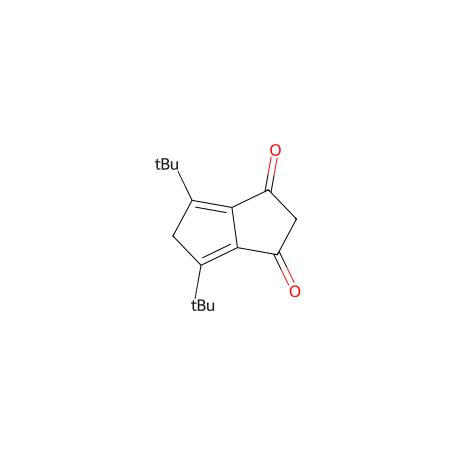 CC(C)(C)C1=C2C(=O)CC(=O)C2=C(C(C)(C)C)C1